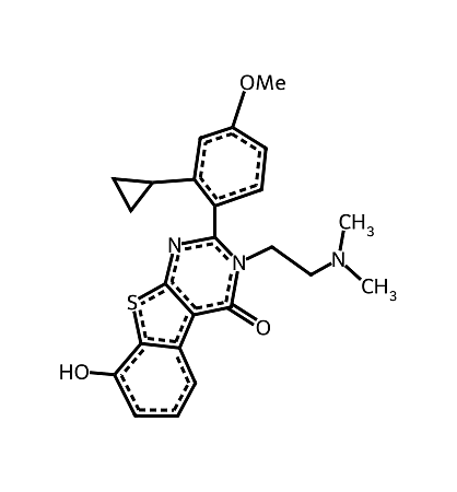 COc1ccc(-c2nc3sc4c(O)cccc4c3c(=O)n2CCN(C)C)c(C2CC2)c1